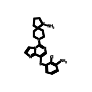 Nc1cccc(Sc2cnc(N3CCC4(CCC[C@H]4N)CC3)n3ccnc23)c1Cl